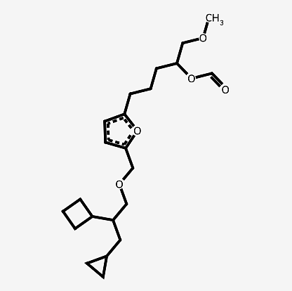 COCC(CCCc1ccc(COCC(CC2CC2)C2CCC2)o1)OC=O